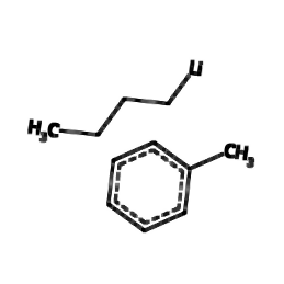 Cc1ccccc1.[Li][CH2]CCC